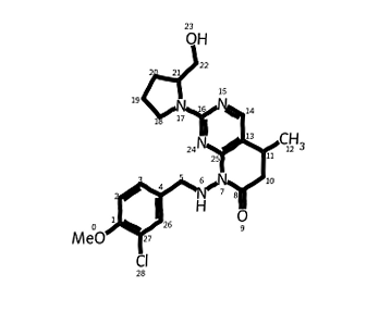 COc1ccc(CNN2C(=O)CC(C)c3cnc(N4CCCC4CO)nc32)cc1Cl